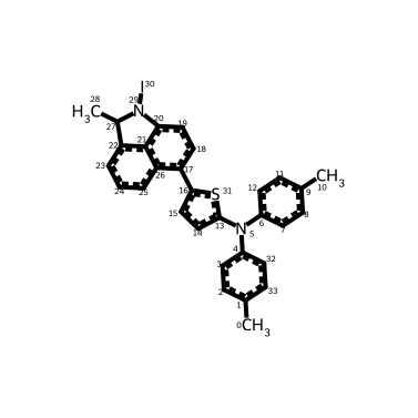 Cc1ccc(N(c2ccc(C)cc2)c2ccc(-c3ccc4c5c(cccc35)C(C)N4I)s2)cc1